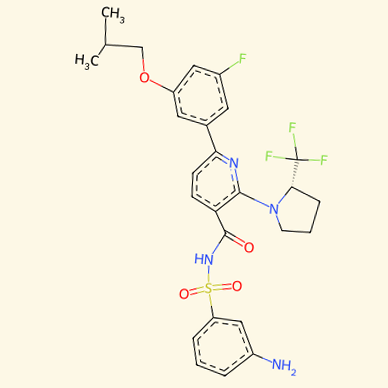 CC(C)COc1cc(F)cc(-c2ccc(C(=O)NS(=O)(=O)c3cccc(N)c3)c(N3CCC[C@H]3C(F)(F)F)n2)c1